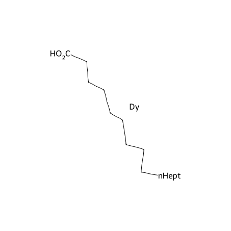 CCCCCCCCCCCCCCCC(=O)O.[Dy]